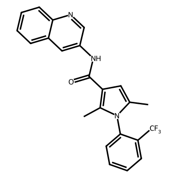 Cc1cc(C(=O)Nc2cnc3ccccc3c2)c(C)n1-c1ccccc1C(F)(F)F